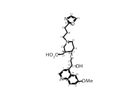 COc1ccc2nccc([C@@H](O)CC[C@@H]3CCN(CCCc4ncco4)C[C@@H]3CC(=O)O)c2c1